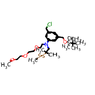 COCCOCCOCCN(CC(C)(C)SSC)c1cc(CCl)cc(CO[Si](C)(C)C(C)(C)C)c1